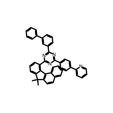 CC1(C)c2cccc(-c3nc(-c4ccc(-c5ccccn5)cc4)nc(-c4cccc(-c5ccccc5)c4)n3)c2-c2c1ccc1ccccc21